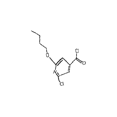 CCCCOc1cc(C(=O)Cl)cc(Cl)n1